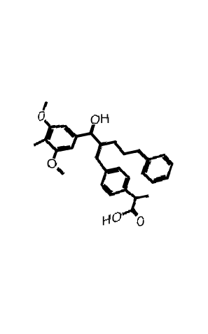 COc1cc(C(O)C(CCCc2ccccc2)Cc2ccc(C(C)C(=O)O)cc2)cc(OC)c1C